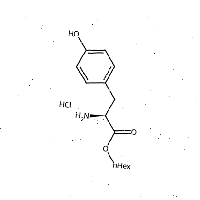 CCCCCCOC(=O)[C@@H](N)Cc1ccc(O)cc1.Cl